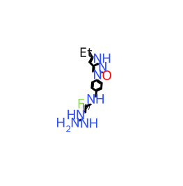 CCc1cc2cn(-c3ccc(CNC[C@H](F)CNC(=N)N)cc3)c(=O)nc2[nH]1